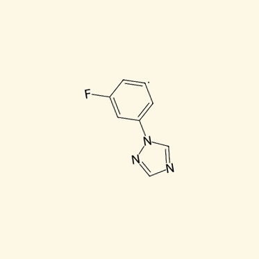 Fc1c[c]cc(-n2cncn2)c1